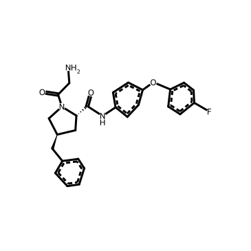 NCC(=O)N1C[C@H](Cc2ccccc2)C[C@H]1C(=O)Nc1ccc(Oc2ccc(F)cc2)cc1